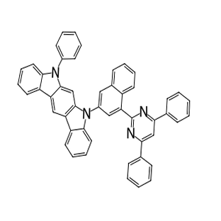 c1ccc(-c2cc(-c3ccccc3)nc(-c3cc(-n4c5ccccc5c5cc6c7ccccc7n(-c7ccccc7)c6cc54)cc4ccccc34)n2)cc1